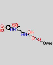 COCCOCCOCCC(O)NCCCCC(NC(O)c1ccc(S(=O)O)cc1)C(C)O